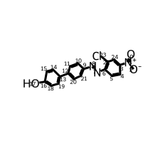 O=[N+]([O-])c1ccc(/N=N/c2ccc(-c3ccc(O)cc3)cc2)c(Cl)c1